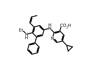 C/C=C\c1cc(Nc2ncc(C3CC3)cc2C(=O)O)cc(-c2ccccc2)c1NCC